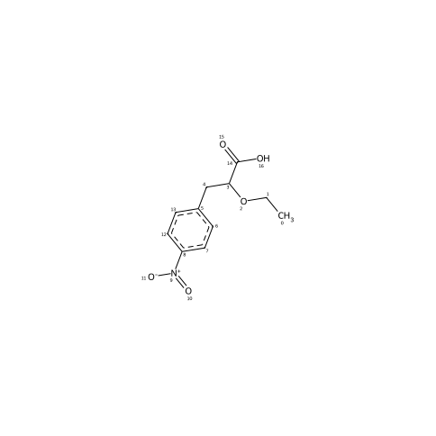 CCOC(Cc1ccc([N+](=O)[O-])cc1)C(=O)O